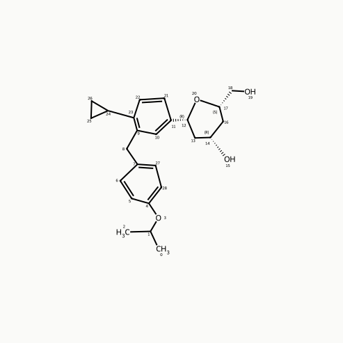 CC(C)Oc1ccc(Cc2cc([C@H]3C[C@@H](O)C[C@@H](CO)O3)ccc2C2CC2)cc1